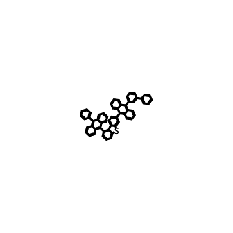 c1ccc(-c2cccc(-c3c4ccccc4c(-c4ccc5c(c4)sc4cccc(-c6c7ccccc7c(-c7ccccc7)c7ccccc67)c45)c4ccccc34)c2)cc1